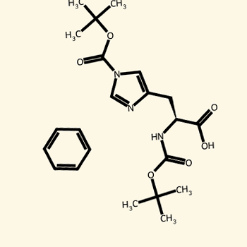 CC(C)(C)OC(=O)N[C@@H](Cc1cn(C(=O)OC(C)(C)C)cn1)C(=O)O.c1ccccc1